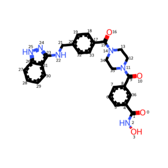 O=C(NO)c1cccc(C(=O)N2CCN(C(=O)c3ccc(CNc4n[nH]c5ccccc45)cc3)CC2)c1